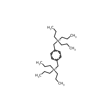 CCC[N+](CCC)(CCC)Cc1ccc(C[N+](CCC)(CCC)CCC)cc1